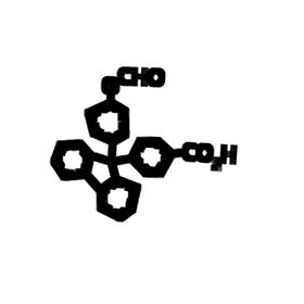 O=COc1ccc(C2(c3ccc(C(=O)O)cc3)c3ccccc3-c3ccccc32)cc1